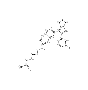 Cc1cccc(-c2nn3c(c2-c2ccc4ncc(OCCCCOC(N)=O)cc4c2)CCC3)n1